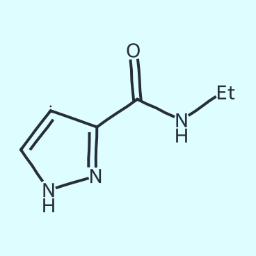 CCNC(=O)c1[c]c[nH]n1